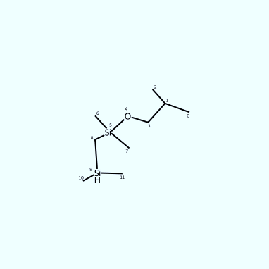 CC(C)CO[Si](C)(C)C[SiH](C)C